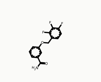 NC(=O)c1cccc(OCc2ccc(F)c(F)c2F)c1